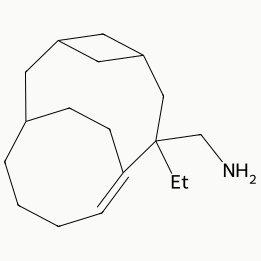 CCC1(CN)CC2CC(CC3CCC/C=C/1CC3)C2